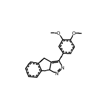 COc1ccc(C2=C3Cc4ccccc4C3N=N2)cc1OC